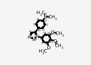 COc1cc(-n2nncc2-c2ccc(N(C)C)cc2)cc(OC)c1OC